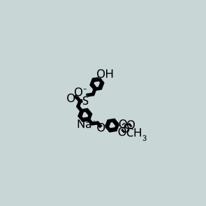 CS(=O)(=O)Oc1ccc(OCCc2ccc(CC(SCCc3ccc(O)cc3)C(=O)[O-])cc2)cc1.[Na+]